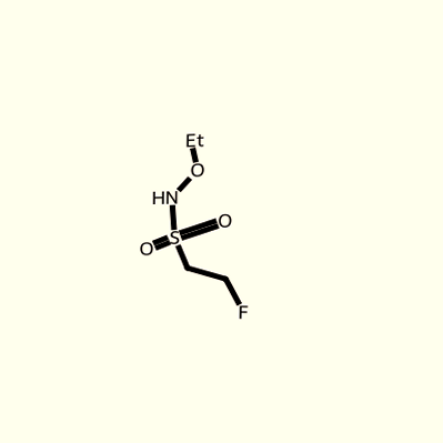 CCONS(=O)(=O)CCF